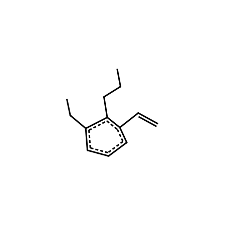 C=Cc1cccc(CC)c1CCC